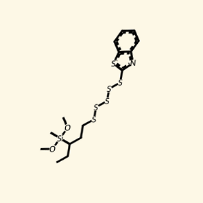 CCC(CCSSSSSc1nc2ccccc2s1)[Si](C)(OC)OC